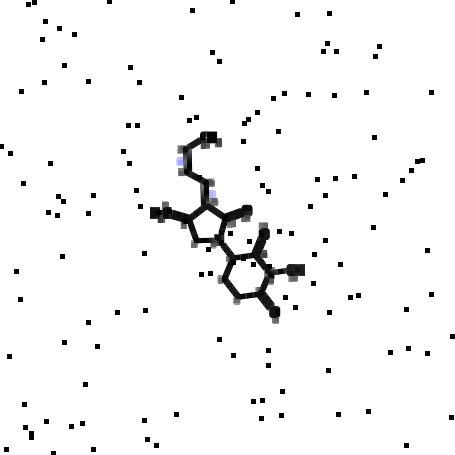 C=C1CN(C2CCC(=O)N(O)C2=O)C(=O)/C1=C/C=C\C